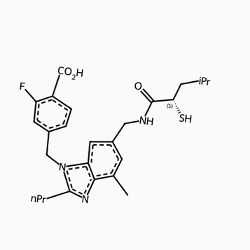 CCCc1nc2c(C)cc(CNC(=O)[C@@H](S)CC(C)C)cc2n1Cc1ccc(C(=O)O)c(F)c1